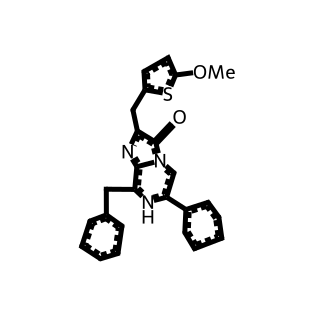 COc1ccc(Cc2nc3c(Cc4ccccc4)[nH]c(-c4ccccc4)cn-3c2=O)s1